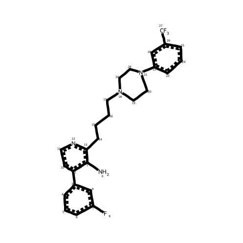 Nc1c(-c2cccc(F)c2)ccnc1CCCCN1CCN(c2cccc(C(F)(F)F)c2)CC1